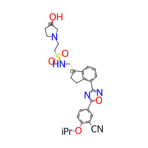 CC(C)Oc1ccc(-c2nc(-c3cccc4c3CC[C@@H]4CNS(=O)(=O)CCN3CC[C@@H](O)C3)no2)cc1C#N